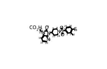 Cc1cc(S(=O)(=O)N2CCC(n3c(=O)n(CC(=O)O)c4cccnc43)CC2)ccc1F